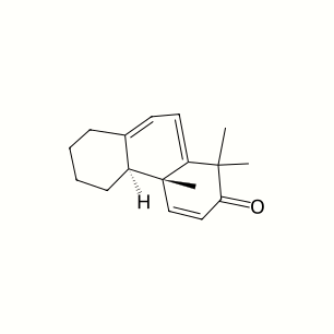 CC1(C)C(=O)C=C[C@@]2(C)C1=CC=C1CCCC[C@@H]12